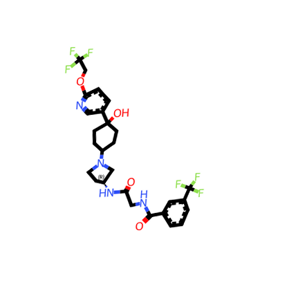 O=C(CNC(=O)c1cccc(C(F)(F)F)c1)N[C@@H]1CCN(C2CCC(O)(c3ccc(OCC(F)(F)F)nc3)CC2)C1